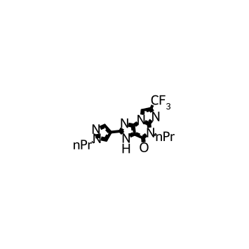 CCCn1cc(-c2nc3c([nH]2)c(=O)n(CCC)c2nc(C(F)(F)F)cn32)cn1